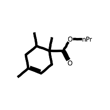 CCCOC(=O)C1(C)CC=C(C)CC1C